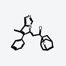 CC1=C(c2ccccc2)C(CC(=O)C23CC4CC(CC2C4)C3)n2cncc21